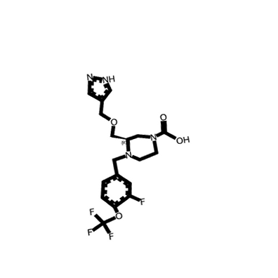 O=C(O)N1CCN(Cc2ccc(OC(F)(F)F)c(F)c2)[C@@H](COCc2cn[nH]c2)C1